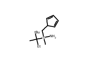 CC[C](C)(C(C)(C)C)[Ti]([CH3])([NH2])[CH2]C1C=CC=C1